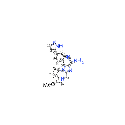 COC1CN(Cc2nc3c(N)nc4cc(-c5ccn[nH]5)ccc4c3n2C2CCC2)C1